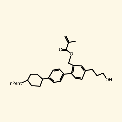 C=C(C)C(=O)OCc1cc(CCCO)ccc1-c1ccc(C2CCC(CCCCC)CC2)cc1